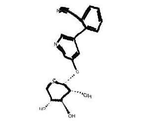 N#Cc1ccccc1-c1cncc(O[C@H]2SC[C@@H](O)[C@H](O)[C@H]2O)c1